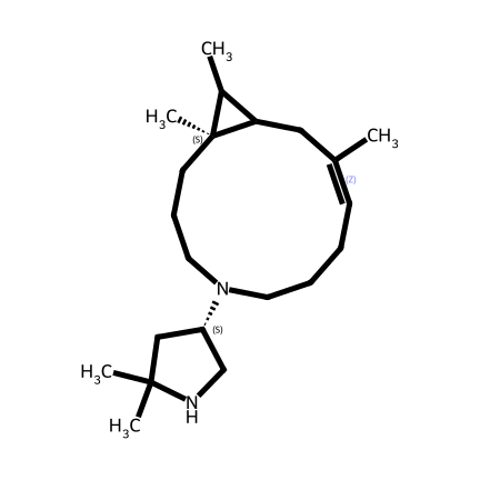 C/C1=C/CCCN([C@@H]2CNC(C)(C)C2)CCC[C@@]2(C)C(C)C2C1